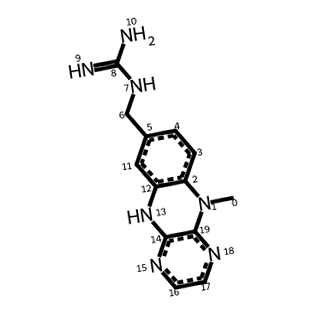 CN1c2ccc(CNC(=N)N)cc2Nc2nccnc21